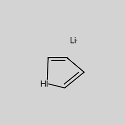 C1=C[IH]C=C1.[Li]